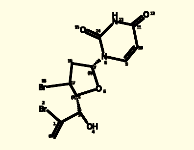 C=C(Br)C(O)[C@H]1O[C@@H](n2ccc(=O)[nH]c2=O)CC1Br